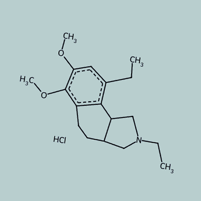 CCc1cc(OC)c(OC)c2c1C1CN(CC)CC1CC2.Cl